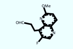 COc1ccc2ncc(F)c(CCC=O)c2n1